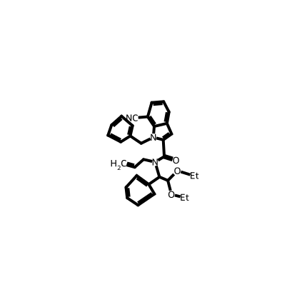 C=CCN(C(=O)c1cc2cccc(C#N)c2n1Cc1ccccc1)C(c1ccccc1)C(OCC)OCC